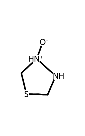 [O-][NH+]1CSCN1